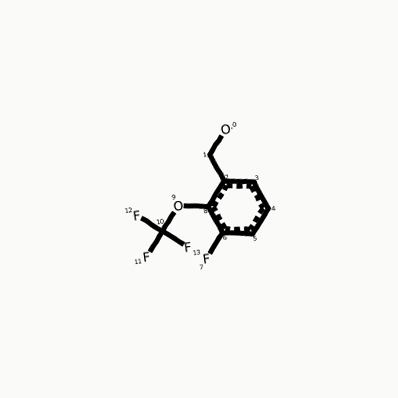 [O]Cc1cccc(F)c1OC(F)(F)F